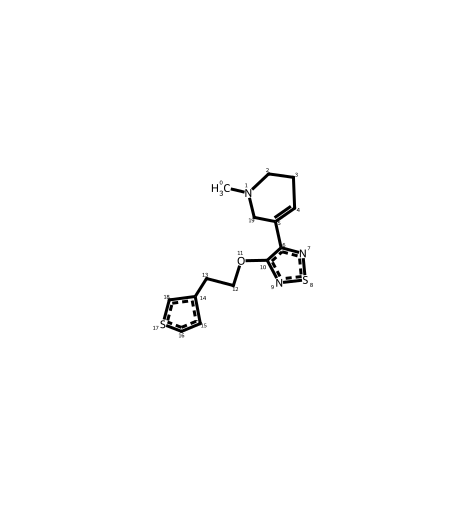 CN1CCC=C(c2nsnc2OCCc2ccsc2)C1